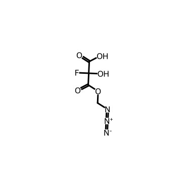 [N-]=[N+]=NCOC(=O)C(O)(F)C(=O)O